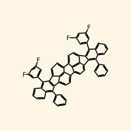 Fc1cc(F)cc(-c2c3c(c(-c4ccccc4)c4ccccc24)-c2ccc4c5ccc6c7c(ccc(c8ccc-3c2c48)c75)-c2c-6c(-c3ccccc3)c3ccccc3c2-c2cc(F)cc(F)c2)c1